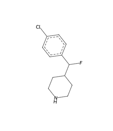 FC(c1ccc(Cl)cc1)C1CCNCC1